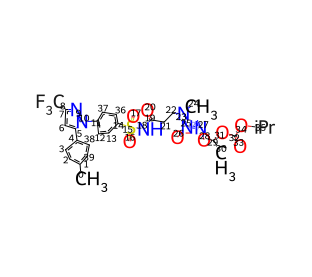 Cc1ccc(-c2cc(C(F)(F)F)nn2-c2ccc(S(=O)(=O)NC(=O)CCN(C)/[N+]([O-])=N/OC(C)OC(=O)OC(C)C)cc2)cc1